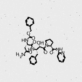 NC(=O)C[C@H](NC(=O)OCc1ccccc1)C(=O)N[C@@H](Cc1ccccc1)[C@H](O)C(=O)N1CCC[C@H]1C(=O)Nc1ccccn1